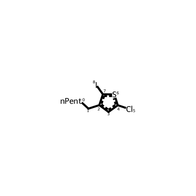 CCCCCCc1cc(Cl)sc1I